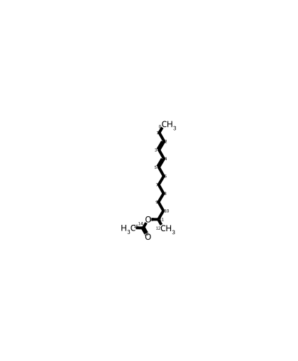 CC/C=C/C=CCCCCCC(C)OC(C)=O